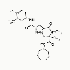 CCC1=CC=C(NC(=O)c2cc3n(n2)CC(C)(C(=O)NC2CCCCCC2)N(C)C3=O)CC1C